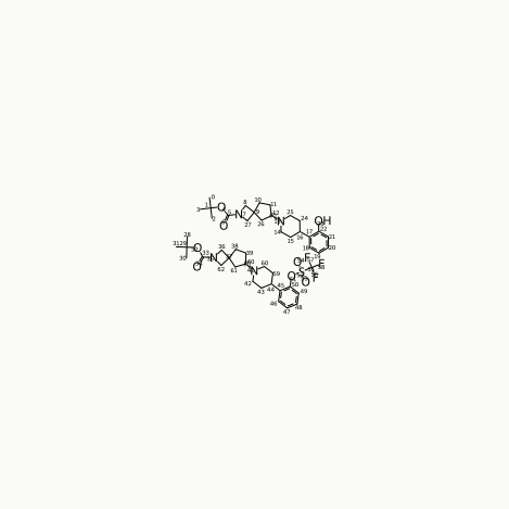 CC(C)(C)OC(=O)N1CC2(CC[C@@H](N3CCC(c4ccccc4O)CC3)C2)C1.CC(C)(C)OC(=O)N1CC2(CC[C@@H](N3CCC(c4ccccc4OS(=O)(=O)C(F)(F)F)CC3)C2)C1